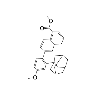 COC(=O)c1cccc2cc(-c3ccc(OC)cc3C34CC5CC(CC(C5)C3)C4)ccc12